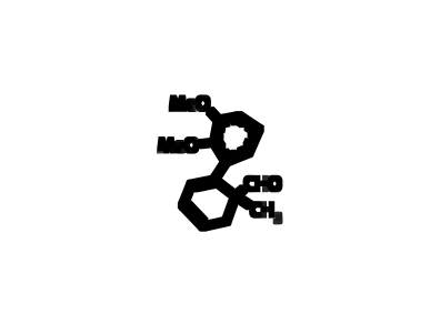 COc1cccc(C2=CC=CCC2(C)C=O)c1OC